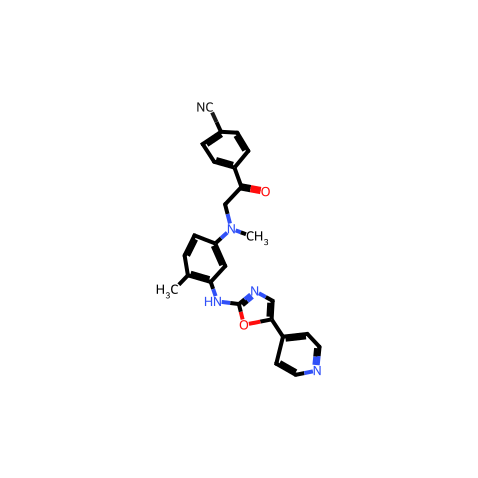 Cc1ccc(N(C)CC(=O)c2ccc(C#N)cc2)cc1Nc1ncc(-c2ccncc2)o1